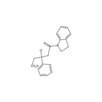 O=C(O)CC(Cl)(CC(=O)N1CCc2ccccc21)c1ccccc1